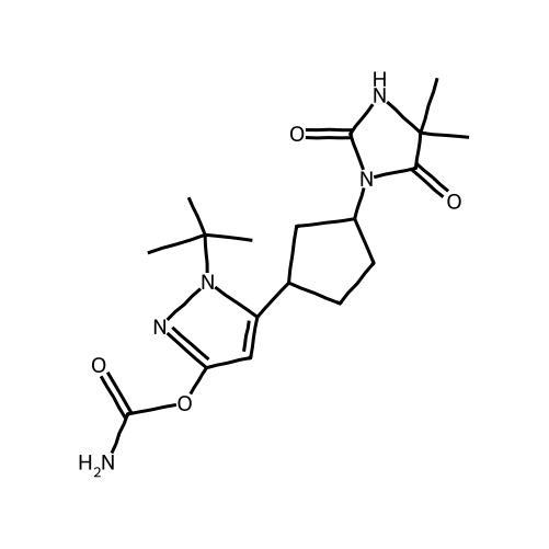 CC1(C)NC(=O)N(C2CCC(c3cc(OC(N)=O)nn3C(C)(C)C)C2)C1=O